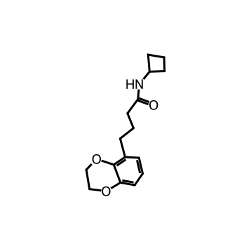 O=C(CCCc1cccc2c1OCCO2)NC1CCC1